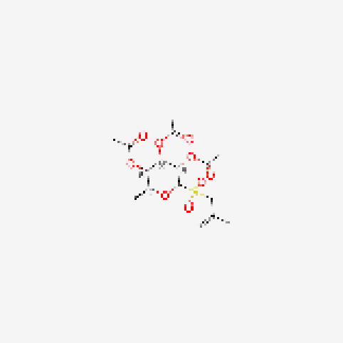 C=C(C)CS(=O)(=O)C1O[C@@H](C)[C@@H](OC(C)=O)[C@@H](OC(C)=O)[C@@H]1OC(C)=O